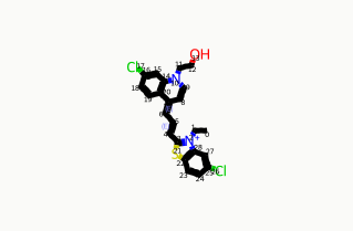 CC[n+]1c(/C=C/C=C2\C=CN(CCO)c3cc(Cl)ccc32)sc2ccc(Cl)cc21